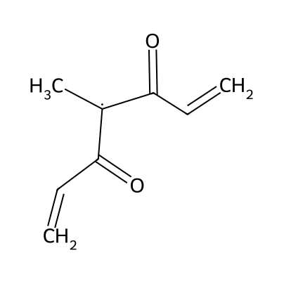 C=CC(=O)[C](C)C(=O)C=C